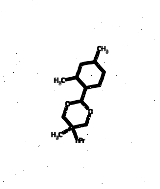 CCCC1(C)COC(C2CCC(C)CC2C)OC1